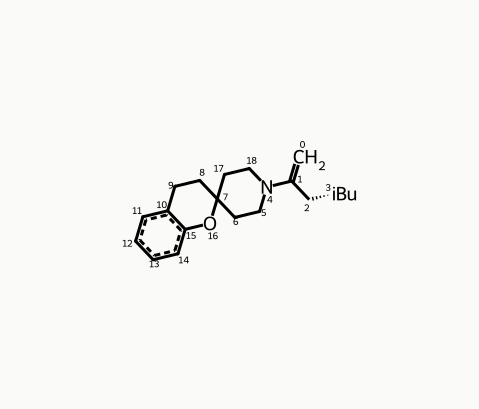 C=C(C[C@@H](C)CC)N1CCC2(CCc3ccccc3O2)CC1